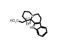 CC[C@]1(CC(=O)O)CCCN2CCc3c([nH]c4ccccc34)[C@@H]21